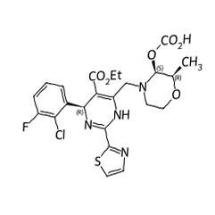 CCOC(=O)C1=C(CN2CCO[C@H](C)[C@@H]2OC(=O)O)NC(c2nccs2)=N[C@H]1c1cccc(F)c1Cl